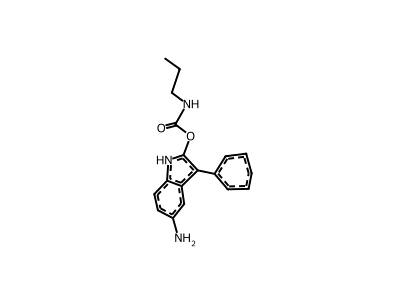 CCCNC(=O)Oc1[nH]c2ccc(N)cc2c1-c1ccccc1